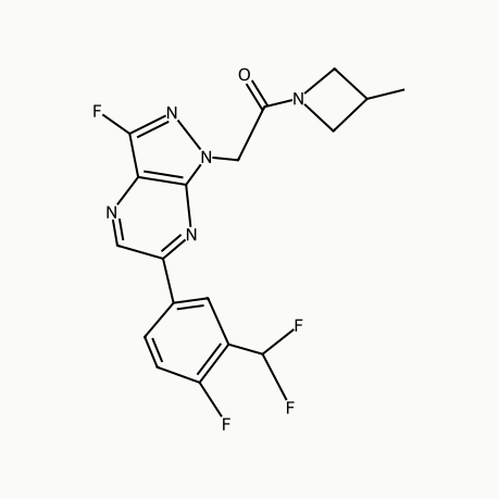 CC1CN(C(=O)Cn2nc(F)c3ncc(-c4ccc(F)c(C(F)F)c4)nc32)C1